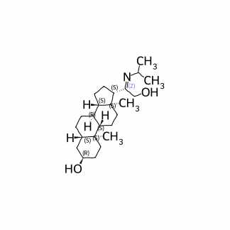 CC(C)/N=C(\CO)[C@H]1CC[C@H]2[C@@H]3CC[C@H]4C[C@H](O)CC[C@]4(C)[C@H]3CC[C@]12C